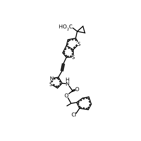 CC(OC(=O)Nc1csnc1C#Cc1cc2cc(C3(C(=O)O)CC3)sc2s1)c1ccccc1Cl